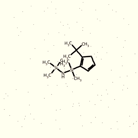 CC(C)(C)C1=C([Si](C)(C)N[Si](C)(C)C)C=CC1